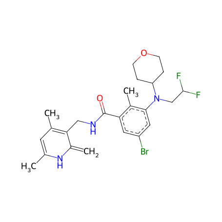 C=C1NC(C)=CC(C)=C1CNC(=O)c1cc(Br)cc(N(CC(F)F)C2CCOCC2)c1C